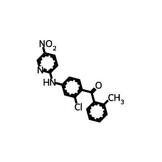 Cc1ccccc1C(=O)c1ccc(Nc2ccc([N+](=O)[O-])cn2)cc1Cl